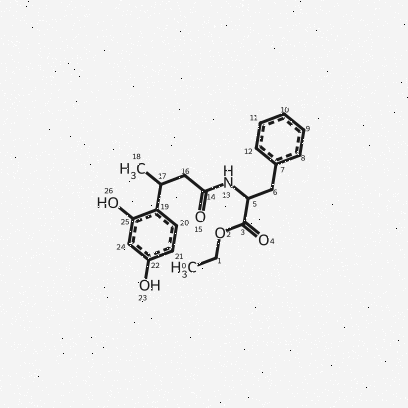 CCOC(=O)C(Cc1ccccc1)NC(=O)CC(C)c1ccc(O)cc1O